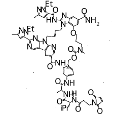 CCn1nc(C)cc1C(=O)Nc1nc2cc(C(N)=O)cc(OCCCN(C)C(=O)OCc3ccc(NC(=O)[C@H](C)NC(=O)[C@@H](NC(=O)CCN4C(=O)C=CC4=O)C(C)C)cc3)c2n1C/C=C/Cn1c2ncc(C(N)=O)cc2c2cnc(-c3cc(C)nn3CC)nc21